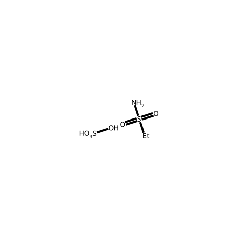 CCS(N)(=O)=O.O=S(=O)(O)O